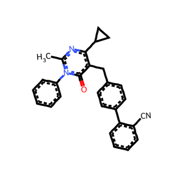 Cc1nc(C2CC2)c(Cc2ccc(-c3ccccc3C#N)cc2)c(=O)n1-c1ccccc1